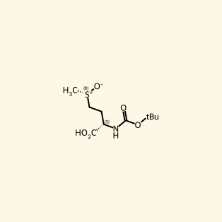 C[S@+]([O-])CC[C@H](NC(=O)OC(C)(C)C)C(=O)O